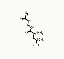 CC(C)C[C@H](N)C(=O)OCCC(=O)O